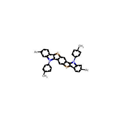 CC(=O)c1ccc2c3sc4cc5c(cc4c3n(-c3ccc(C)cc3)c2c1)sc1c2ccc(C(C)=O)cc2n(-c2ccc(C)cc2)c51